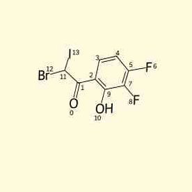 O=C(c1ccc(F)c(F)c1O)C(Br)I